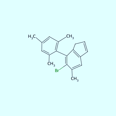 Cc1cc(C)c(-c2c(Br)c(C)cc3c2CC=C3)c(C)c1